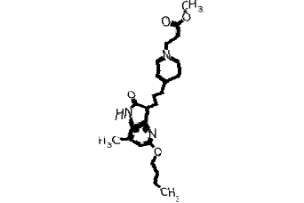 CCCCOc1cc(C)c2c(n1)C(CCCC1CCN(CCC(=O)OC)CC1)C(=O)N2